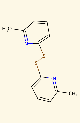 Cc1cccc(SSc2cccc(C)n2)n1